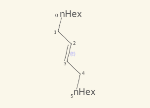 [CH2]CCCCCC/C=C/CCCCCCC